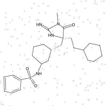 CN1C(=N)N[C@](CCC2CCCCC2)(C[C@H]2CCCC(NS(=O)(=O)c3ccccc3)C2)C1=O